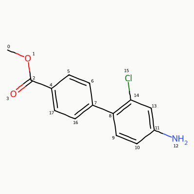 COC(=O)c1ccc(-c2ccc(N)cc2Cl)cc1